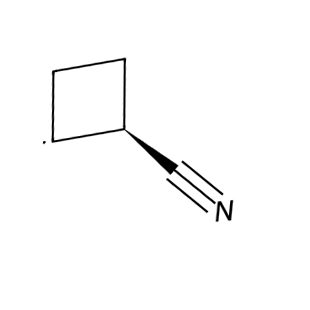 N#C[C@H]1[CH]CC1